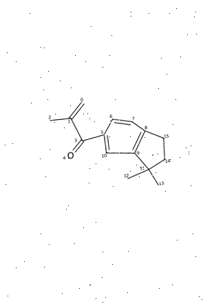 C=C(C)C(=O)c1ccc2c(c1)C(C)(C)CC2